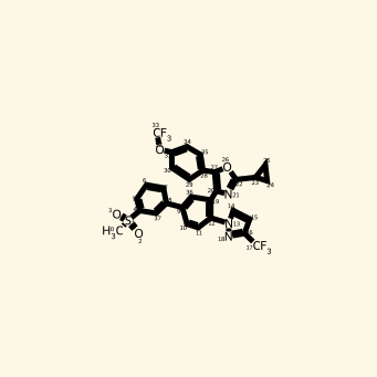 CS(=O)(=O)c1cccc(-c2ccc(-n3ccc(C(F)(F)F)n3)c(-c3nc(C4CC4)oc3-c3ccc(OC(F)(F)F)cc3)c2)c1